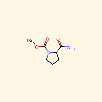 CC(C)(C)OC(=O)N1CCC[C@@H]1C(N)=O